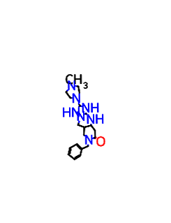 CN1CCN(C2NC3NC4CC(=O)N(Cc5ccccc5)CC4CN3N2)CC1